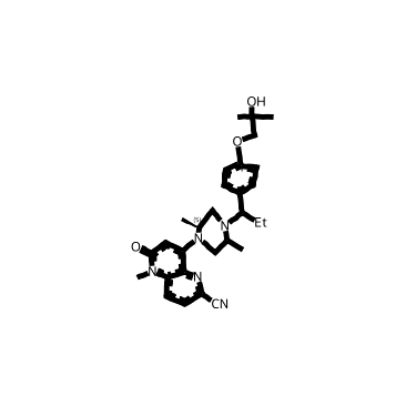 CCC(c1ccc(OCC(C)(C)O)cc1)N1C[C@H](C)N(c2cc(=O)n(C)c3ccc(C#N)nc23)CC1C